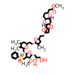 C=C1C(C)CC(CC[C@@H]2OC(CC[C@@]34CC5OC6C(O3)[C@H]3OC(CC(=O)OC)CCC3O[C@H]6C5O4)CC2=C)OC1C[C@@H]1O[C@H](CC(O)CO)[C@H](OC)C1CS(=O)(=O)c1ccccc1